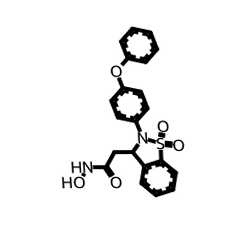 O=C(CC1c2ccccc2S(=O)(=O)N1c1ccc(Oc2ccccc2)cc1)NO